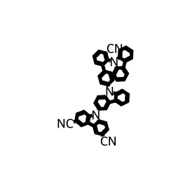 N#Cc1ccc2c(c1)c1cc(C#N)ccc1n2-c1ccc2c(c1)c1ccccc1n2-c1ccc(-c2cccc(C#N)c2-n2c3ccccc3c3ccccc32)cc1